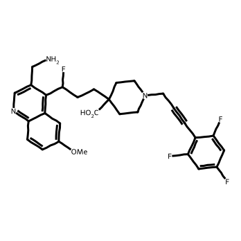 COc1ccc2ncc(CN)c(C(F)CCC3(C(=O)O)CCN(CC#Cc4c(F)cc(F)cc4F)CC3)c2c1